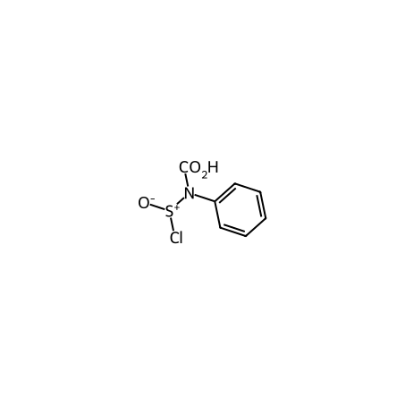 O=C(O)N(c1ccccc1)[S+]([O-])Cl